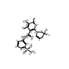 Cc1nc(N2C=CCC(F)(F)C2)c(C(=O)Nc2cccc(S(N)(=O)=O)c2)c(C)c1Cl